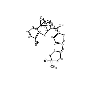 CC1(O)CCN(Cc2ccc(C(=O)N3CC[C@@]4(C)c5cccc(O)c5CC3C4(C)C)cc2)CC1